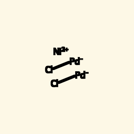 [Cl][Pd-].[Cl][Pd-].[Ni+2]